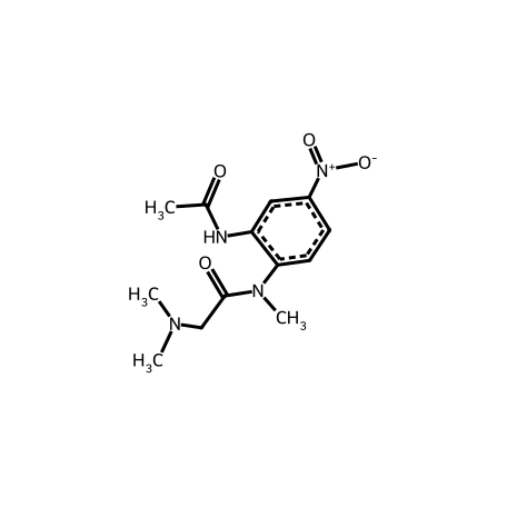 CC(=O)Nc1cc([N+](=O)[O-])ccc1N(C)C(=O)CN(C)C